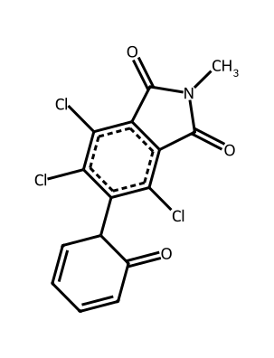 CN1C(=O)c2c(Cl)c(Cl)c(C3C=CC=CC3=O)c(Cl)c2C1=O